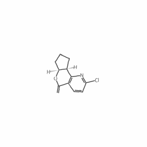 C=C1O[C@H]2CCC[C@H]2c2nc(Cl)ccc21